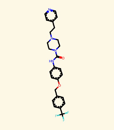 O=C(Nc1ccc(OCc2ccc(C(F)(F)F)cc2)cc1)N1CCN(CCc2ccncc2)CC1